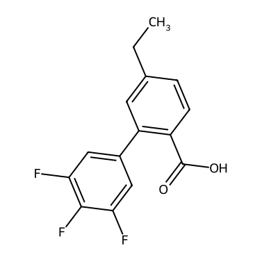 CCc1ccc(C(=O)O)c(-c2cc(F)c(F)c(F)c2)c1